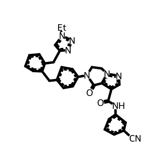 CCn1cc(Cc2ccccc2Cc2ccc(N3CCn4ncc(C(=O)Nc5cccc(C#N)c5)c4C3=O)cc2)nn1